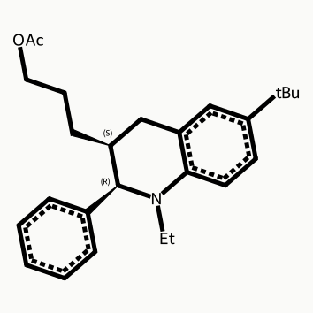 CCN1c2ccc(C(C)(C)C)cc2C[C@H](CCCOC(C)=O)[C@@H]1c1ccccc1